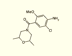 COc1cc(N)c(Cl)cc1C(=O)N1CC(C)OC(C)C1